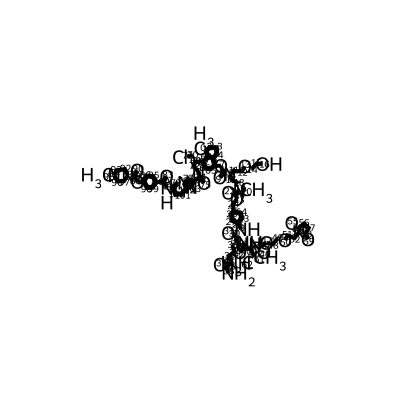 Cc1cccc2c(OC(=O)N(CCOCCO)CCN(C)C(=O)OCc3ccc(NC(=O)[C@H](CCCNC(N)=O)NC(=O)[C@@H](NC(=O)OCCOCCN4C(=O)C=CC4=O)C(C)C)cc3)cc3c(c12)[C@H](CCl)CN3C(=O)c1cn2cc(NC(=O)c3ccc(OC(=O)N4CCN(C)CC4)cc3)ccc2n1